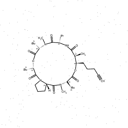 C#CCCC[C@H]1OC(=O)[C@H]([C@H](C)CC)N(C)C(=O)[C@@H]2CCCN2C(=O)[C@H]([C@@H](C)CC)OC(=O)[C@H]([C@@H](C)CC)N(C)C(=O)[C@H](C(C)C)NC(=O)[C@H]1C